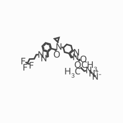 CC(C)(CN=[N+]=[N-])OC(=O)n1cc2c(n1)CCC(N(C(=O)c1cccc3c1cnn3CCCC(F)(F)F)C1CC1)C2